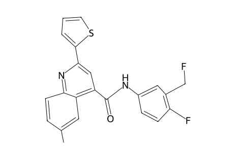 Cc1ccc2nc(-c3cccs3)cc(C(=O)Nc3ccc(F)c(CF)c3)c2c1